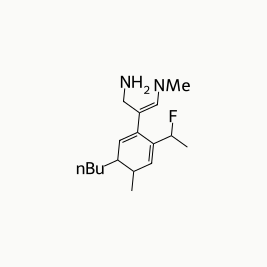 CCCCC1C=C(/C(=C/NC)CN)C(C(C)F)=CC1C